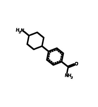 NC(=O)c1ccc(C2CCC(N)CC2)cc1